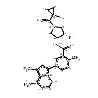 Cc1ncc(-c2cc(C(F)(F)F)c3c(N)ncnn23)cc1C(=O)N[C@@H]1CN(C(=O)C2(F)CC2)C[C@@H]1F